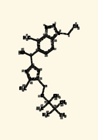 CCn1nnc2c(C)c(C(O)c3cc(CO[Si](C)(C)C(C)(C)C)c(C)s3)ccc21